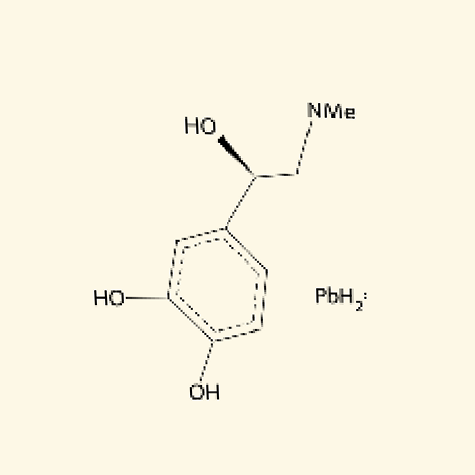 CNC[C@H](O)c1ccc(O)c(O)c1.[PbH2]